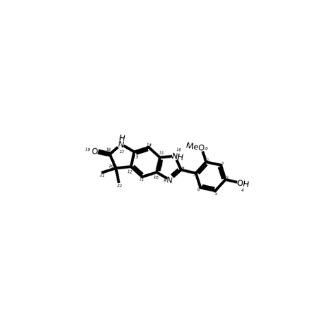 COc1cc(O)ccc1-c1nc2cc3c(cc2[nH]1)NC(=O)C3(C)C